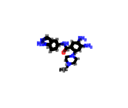 CN1CCN(c2cc(N)c(N)cc2C(=O)Nc2ccc3[nH]ncc3c2)CC1